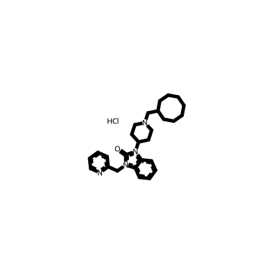 Cl.O=c1n(Cc2ccccn2)c2ccccc2n1C1CCN(CC2CCCCCCC2)CC1